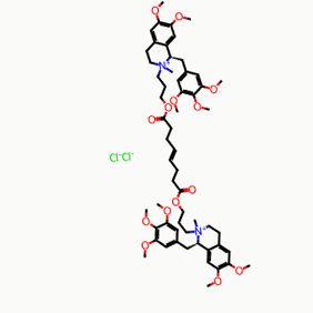 COc1cc2c(cc1OC)[C@@H](Cc1cc(OC)c(OC)c(OC)c1)[N+](C)(CCCOC(=O)CCC=CCCC(=O)OCCC[N+]1(C)CCc3cc(OC)c(OC)cc3[C@H]1Cc1cc(OC)c(OC)c(OC)c1)CC2.[Cl-].[Cl-]